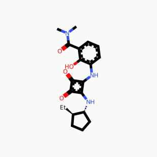 CC[C@@H]1CCC[C@H]1Nc1c(Nc2cccc(C(=O)N(C)C)c2O)c(=O)c1=O